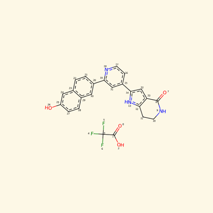 O=C(O)C(F)(F)F.O=C1NCCc2[nH]c(-c3ccnc(-c4ccc5cc(O)ccc5c4)c3)cc21